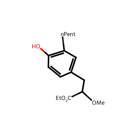 CCCCCc1cc(CC(OC)C(=O)OCC)ccc1O